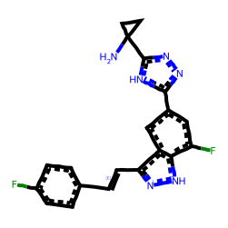 NC1(c2nnc(-c3cc(F)c4[nH]nc(/C=C/c5ccc(F)cc5)c4c3)[nH]2)CC1